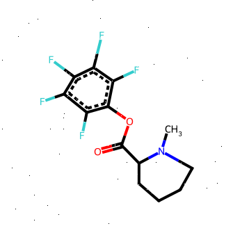 CN1CCCCC1C(=O)Oc1c(F)c(F)c(F)c(F)c1F